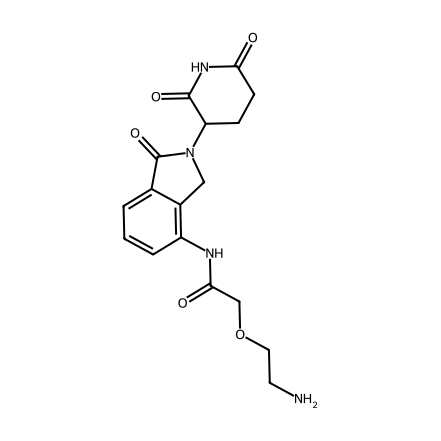 NCCOCC(=O)Nc1cccc2c1CN(C1CCC(=O)NC1=O)C2=O